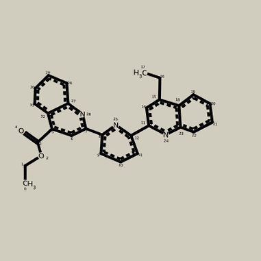 CCOC(=O)c1cc(-c2cccc(-c3cc(CC)c4ccccc4n3)n2)nc2ccccc12